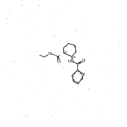 CCOC(=O)[C@@H]1CCCC[C@H]1NC(=O)c1ccccn1